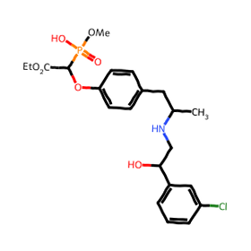 CCOC(=O)C(Oc1ccc(CC(C)NCC(O)c2cccc(Cl)c2)cc1)P(=O)(O)OC